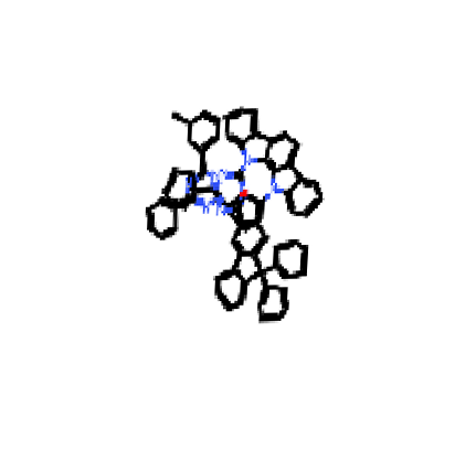 CC1C=CC=C(c2nc(-c3ccccc3)nc(-c3cccc(-n4c5ccccc5c5ccc6c7ccccc7n(-c7nc(-c8ccccc8)nc(-c8ccc9c(c8)-c8ccccc8C9(c8ccccc8)c8ccccc8)n7)c6c54)c3)n2)C1